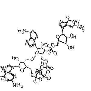 COC[C@H]1[C@@H](O)[C@H](n2c[n+](C)c3c(=O)[nH]c(N)nc32)O[C@@H]1CSP(=O)(O)OP(=O)(O)OP(=O)(O)OC[C@H]1O[C@@H](n2cnc3c(N)ncnc32)[C@H](OC)[C@@H]1OP(=O)([O-])OC[C@H]1O[C@@H](n2cnc3c(=O)[nH]c(N)nc32)[C@H](O)[C@@H]1O